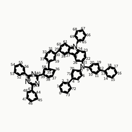 c1ccc(-c2ccc(N(c3ccc(-c4ccccc4)cc3)c3ccc4c(c3)c3cc(-c5cccc(-c6cccc(-c7nc(-c8ccccc8)nc(-c8ccccc8)n7)c6)c5)ccc3n4-c3ccccc3)cc2)cc1